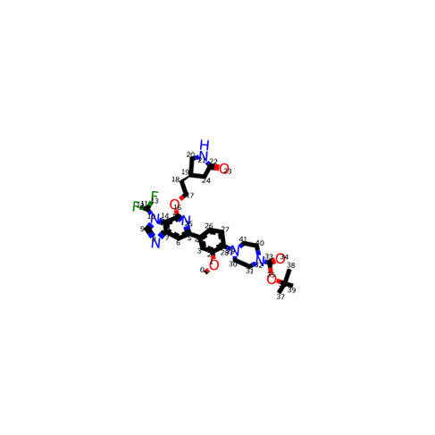 COc1cc(-c2cc3ncn(C(F)F)c3c(OCC[C@H]3CNC(=O)C3)n2)ccc1N1CCN(C(=O)OC(C)(C)C)CC1